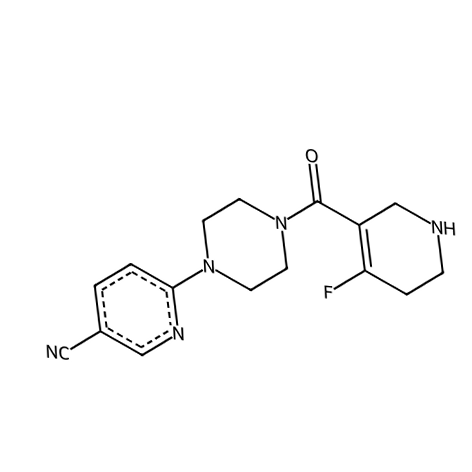 N#Cc1ccc(N2CCN(C(=O)C3=C(F)CCNC3)CC2)nc1